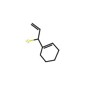 C=CC([S])C1=CCCCC1